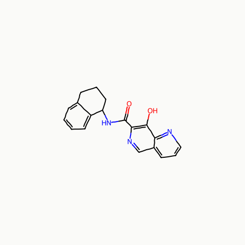 O=C(NC1CCCc2ccccc21)c1ncc2cccnc2c1O